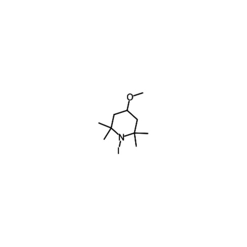 COC1CC(C)(C)N(I)C(C)(C)C1